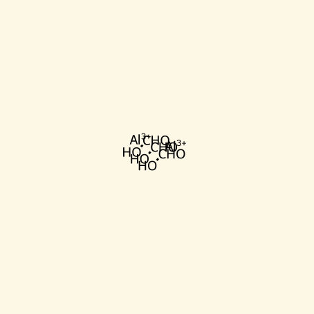 O=CO.O=CO.O=CO.[Al+3].[Al+3]